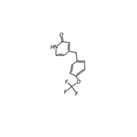 O=c1cc(Cc2ccc(OC(F)(F)F)cc2)cc[nH]1